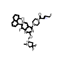 CN1CC(F)(F)C[C@H]1COc1nc(N2CCN(C(=O)/C=C/CF)CC2)c2cnc(-c3cccc4cccc(Cl)c34)c(F)c2n1